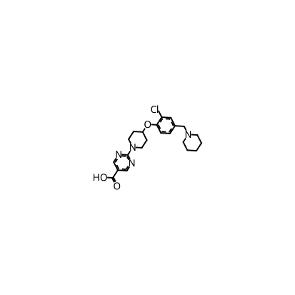 O=C(O)c1cnc(N2CCC(Oc3ccc(CN4CCCCC4)cc3Cl)CC2)nc1